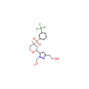 COCn1nc(CCO)cc1C1CC(C)(S(=O)(=O)c2cccc(C(F)(F)F)c2)CCO1